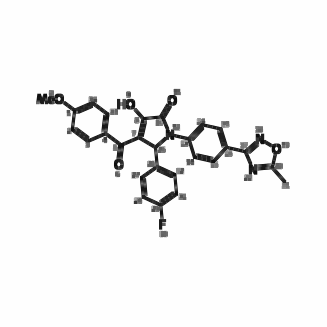 COc1ccc(C(=O)C2=C(O)C(=O)N(c3ccc(-c4noc(C)n4)cc3)C2c2ccc(F)cc2)cc1